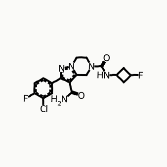 NC(=O)c1c(-c2ccc(F)c(Cl)c2)nn2c1CN(C(=O)NC1CC(F)C1)CC2